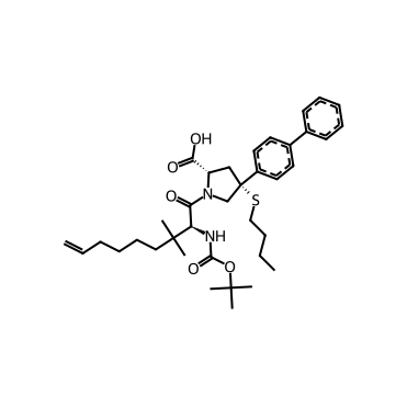 C=CCCCCC(C)(C)[C@H](NC(=O)OC(C)(C)C)C(=O)N1C[C@](SCCCC)(c2ccc(-c3ccccc3)cc2)C[C@H]1C(=O)O